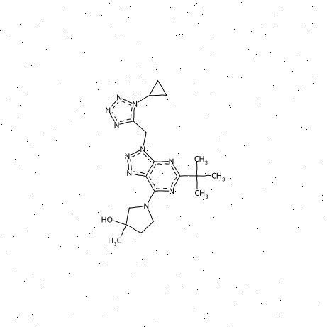 CC1(O)CCN(c2nc(C(C)(C)C)nc3c2nnn3Cc2nnnn2C2CC2)C1